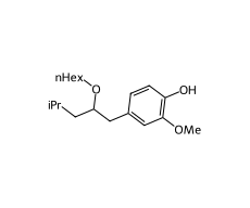 CCCCCCOC(Cc1ccc(O)c(OC)c1)CC(C)C